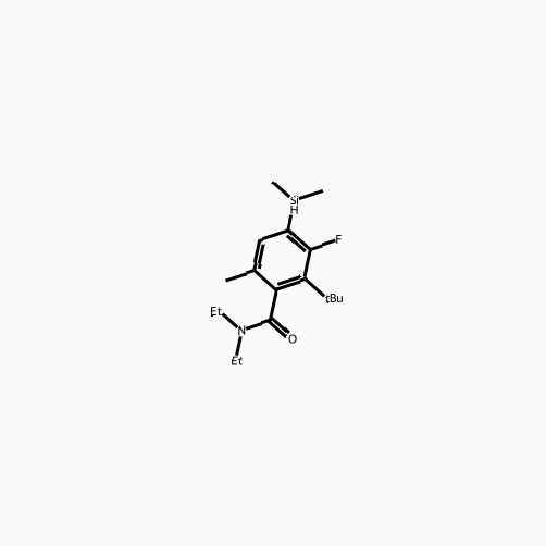 CCN(CC)C(=O)c1c(C)cc([SiH](C)C)c(F)c1C(C)(C)C